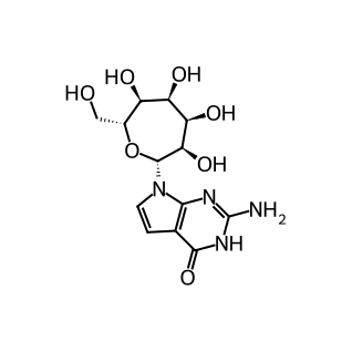 Nc1nc2c(ccn2[C@@H]2O[C@H](CO)[C@@H](O)[C@@H](O)[C@@H](O)[C@H]2O)c(=O)[nH]1